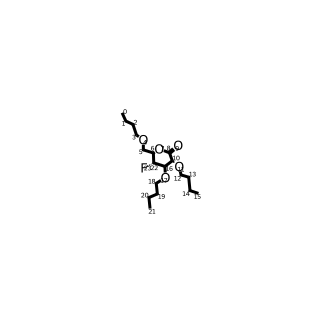 CCCCOCC1OC(=O)[C@H](OCCCC)C(OCCCC)[C@@H]1F